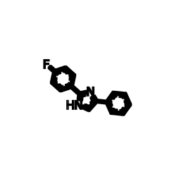 Fc1ccc(-c2nc(-c3ccccc3)c[nH]2)cc1